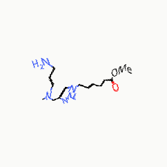 COC(=O)CCCCCn1cc(CN(C)CCCN)nn1